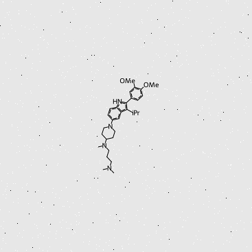 COc1ccc(-c2[nH]c3ccc(N4CCC(N(C)CCCN(C)C)CC4)cc3c2C(C)C)cc1OC